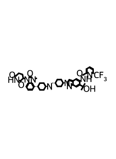 Cn1c(=O)n(C2CCC(=O)NC2=O)c2cccc([C@H]3CC[C@H](N(C)C[C@H]4CC[C@H](n5cc6cc(NC(=O)c7cccc(C(F)(F)F)n7)c(C(C)(C)O)cc6n5)CC4)CC3)c21